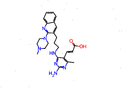 Cc1nc(N)nc(NCCCc2cc3ccccc3nc2N2CCN(C)CC2)c1C=CC(=O)O